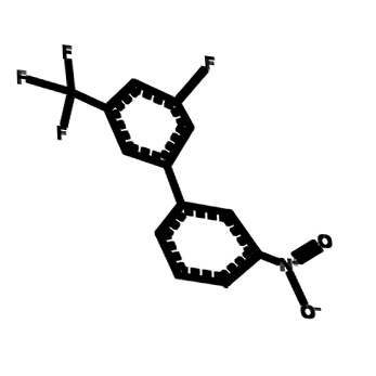 O=[N+]([O-])c1[c]ccc(-c2cc(F)cc(C(F)(F)F)c2)c1